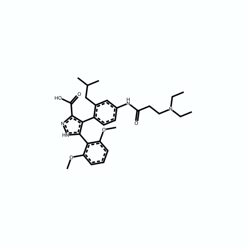 CCN(CC)CCC(=O)Nc1ccc(-c2c(C(=O)O)n[nH]c2-c2c(OC)cccc2OC)c(CC(C)C)c1